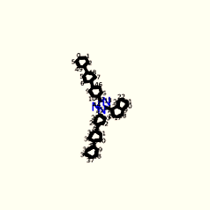 c1ccc(-c2ccc(-c3ccc(-c4nc(-c5cccc6ccccc56)n(-c5ccc(-c6ccc(-c7ccccc7)cc6)cc5)n4)cc3)cc2)cc1